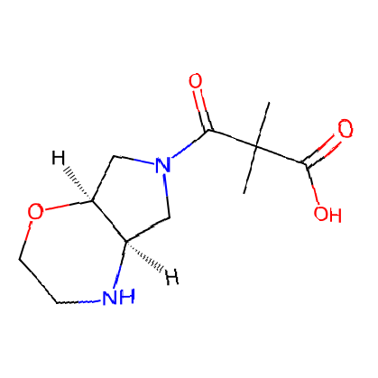 CC(C)(C(=O)O)C(=O)N1C[C@@H]2OCCN[C@@H]2C1